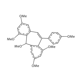 COc1ccc(C2=Cc3cc(OC)cc(OC)c3C(OC)c3cc(OC)cc(OC)c32)cc1